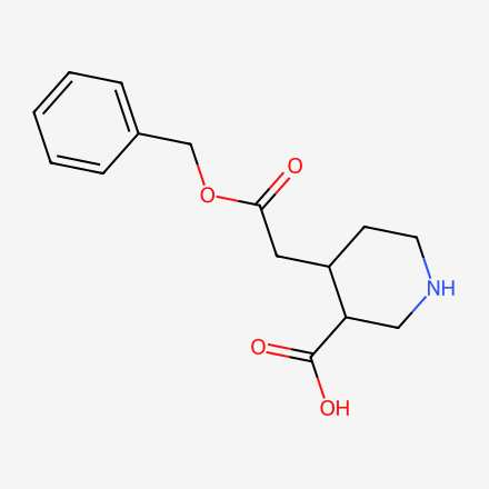 O=C(CC1CCNCC1C(=O)O)OCc1ccccc1